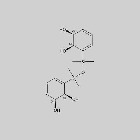 C[Si](C)(O[Si](C)(C)C1=CC=C[C@H](O)[C@@H]1O)C1=CC=C[C@H](O)[C@@H]1O